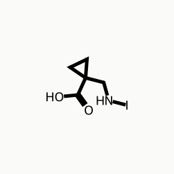 O=C(O)C1(CNI)CC1